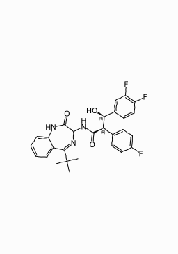 CC(C)(C)C1=NC(NC(=O)[C@H](c2ccc(F)cc2)[C@@H](O)c2ccc(F)c(F)c2)C(=O)Nc2ccccc21